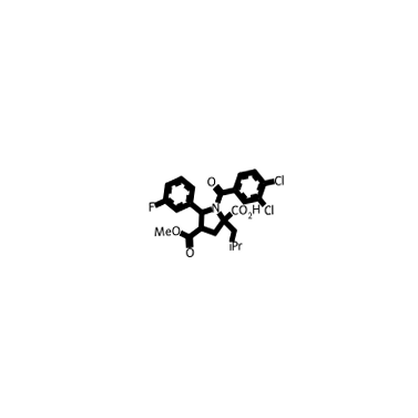 COC(=O)C1CC(CC(C)C)(C(=O)O)N(C(=O)c2ccc(Cl)c(Cl)c2)C1c1cccc(F)c1